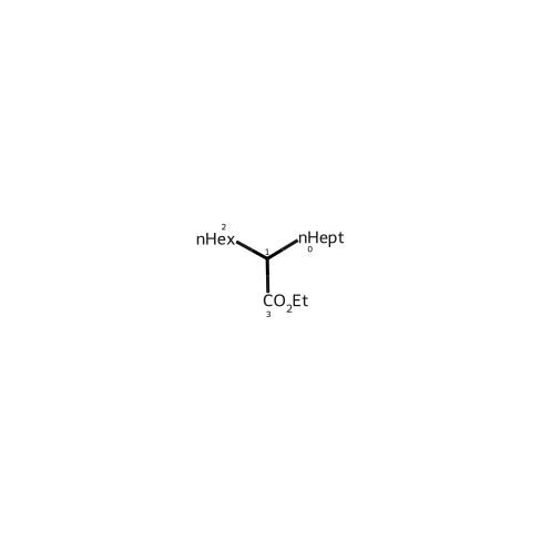 CCCCCCCC(CCCCCC)C(=O)OCC